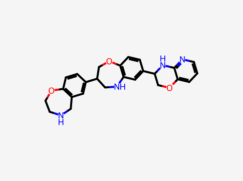 c1cnc2c(c1)OCC(c1ccc3c(c1)NCC(c1ccc4c(c1)CNCCO4)CO3)N2